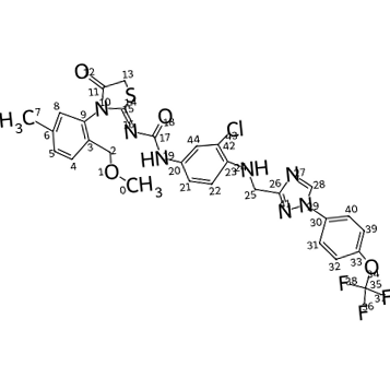 COCc1ccc(C)cc1N1C(=O)CS/C1=N\C(=O)Nc1ccc(NCc2ncn(-c3ccc(OC(F)(F)F)cc3)n2)c(Cl)c1